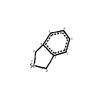 c1ccc2c(c1)C[Se]C2